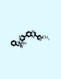 Cn1cc(-c2cnc3ccc(-c4cncc(NS(=O)(=O)Cc5ccccc5)c4)cc3n2)cn1